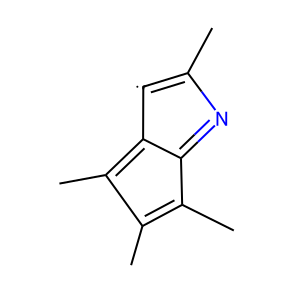 CC1=[C]C2=C(C)C(C)=C(C)C2=N1